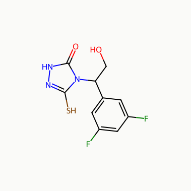 O=c1[nH]nc(S)n1C(CO)c1cc(F)cc(F)c1